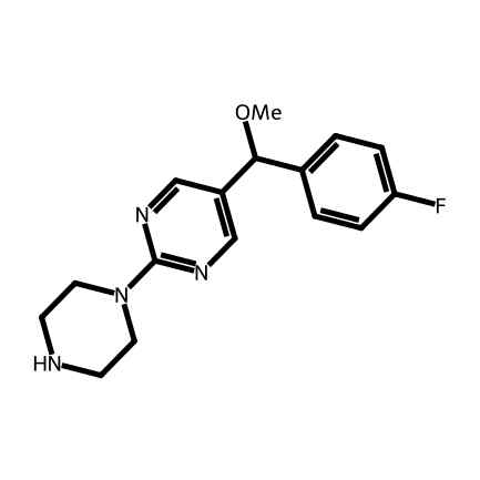 COC(c1ccc(F)cc1)c1cnc(N2CCNCC2)nc1